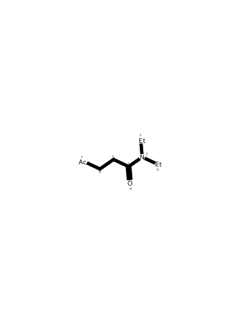 CCN(CC)C(=O)CCC(C)=O